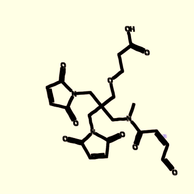 CN(CC(COCCC(=O)O)(CN1C(=O)C=CC1=O)CN1C(=O)C=CC1=O)C(=O)/C=C\C=O